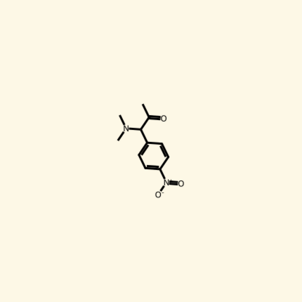 CC(=O)C(c1ccc([N+](=O)[O-])cc1)N(C)C